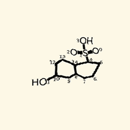 O=S(=O)(O)C1CCCC2CC(O)CCC21